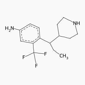 CCC(c1ccc(N)cc1C(F)(F)F)C1CCNCC1